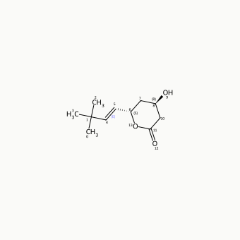 CC(C)(C)/C=C/[C@@H]1C[C@@H](O)CC(=O)O1